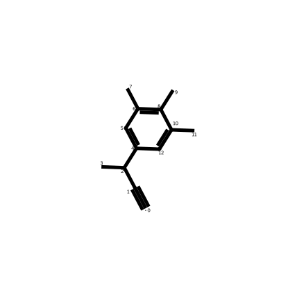 [C]#CC(C)c1cc(C)c(C)c(C)c1